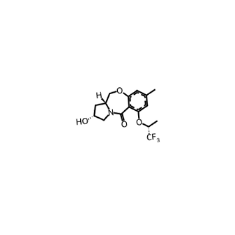 Cc1cc2c(c(O[C@H](C)C(F)(F)F)c1)C(=O)N1C[C@H](O)C[C@@H]1CO2